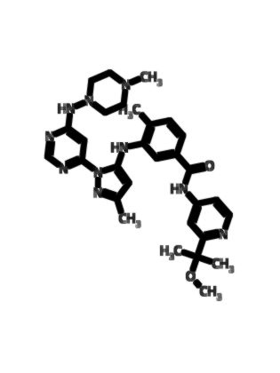 COC(C)(C)c1cc(NC(=O)c2ccc(C)c(Nc3cc(C)nn3-c3cc(NN4CCN(C)CC4)ncn3)c2)ccn1